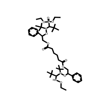 CCOPC(N(OC(COC(=O)CCCCC(=O)OCC(ON(C(C(C)(C)C)P(=O)(OCC)OCC)C(C)(C)C)c1ccccc1)c1ccccc1)C(C)(C)C)C(C)(C)C